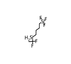 CC(F)(F)[SiH2]CCCC[Si](F)(F)F